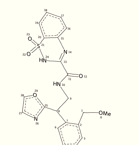 COCc1ccccc1C(CNC(=O)C1=Nc2ccccc2S(=O)(=O)N1)c1ncco1